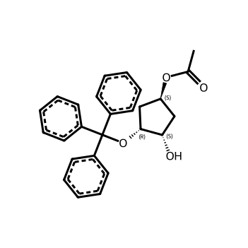 CC(=O)O[C@H]1C[C@H](O)[C@H](OC(c2ccccc2)(c2ccccc2)c2ccccc2)C1